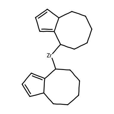 C1=CC2CCCCC[CH]([Zr][CH]3CCCCCC4C=CC=C43)C2=C1